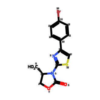 O=C(O)[C@@H]1COC(=O)N1c1nc(-c2ccc(Br)cc2)cs1